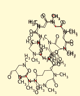 CN(CC(=O)N(C)CC(=O)N(C)CC(=O)N(C)CC(=O)N(C)CC(=O)N(C)CC(=O)N(C)CC(=O)N(C)CC(=O)N(C)CC(=O)N(C)CC(=O)N(C)CC(=O)N(C)CC(=O)N(C)CC(=O)N(C)CC(=O)N(C)CC(=O)N(C)CC(=O)N(C)CC(=O)N(C)CC(=O)O)CC(C=O)N(C)C(=O)CN(C)C(=O)CCCON